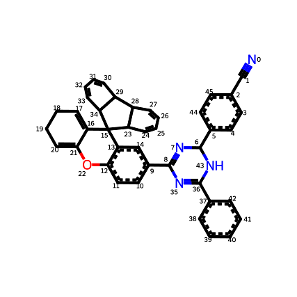 N#Cc1ccc(C2N=C(c3ccc4c(c3)C3(C5=CCCC=C5O4)C4C=CC=CC4C4C=CC=CC43)N=C(c3ccccc3)N2)cc1